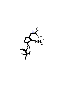 NC1=C(/C=C(\N)Cl)CCC1OC(=O)C(F)(F)F